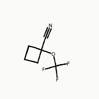 N#CC1(OC(F)(F)F)CCC1